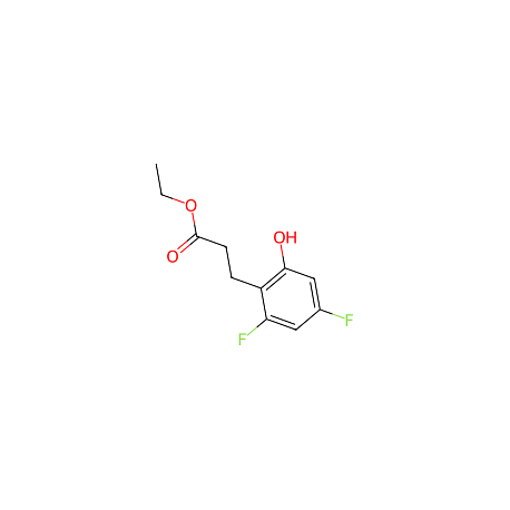 CCOC(=O)CCc1c(O)cc(F)cc1F